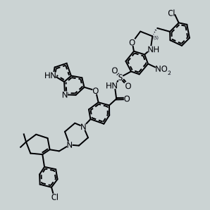 CC1(C)CCC(CN2CCN(c3ccc(C(=O)NS(=O)(=O)c4cc5c(c([N+](=O)[O-])c4)N[C@@H](Cc4ccccc4Cl)CO5)c(Oc4cnc5[nH]ccc5c4)c3)CC2)=C(c2ccc(Cl)cc2)C1